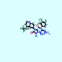 N=NC(=NN)N(C(=O)[C@@H]1CNC(=O)N1c1ccc2nccc([Se]C(F)(F)F)c2c1)c1ccc(F)c(Cl)c1F